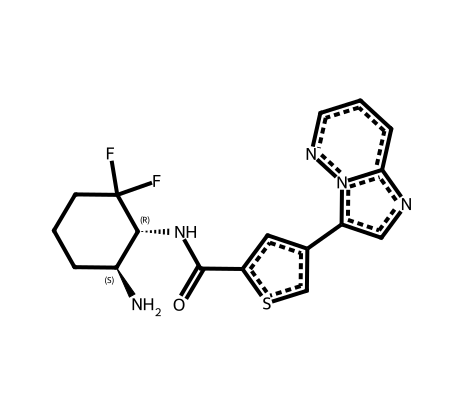 N[C@H]1CCCC(F)(F)[C@@H]1NC(=O)c1cc(-c2cnc3cccnn23)cs1